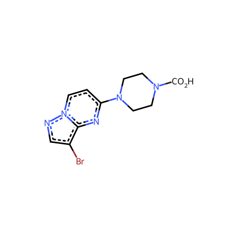 O=C(O)N1CCN(c2ccn3ncc(Br)c3n2)CC1